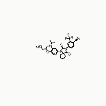 CC(C)N1C[C@H](CO)Oc2ccc(N3C(=S)N(c4ccc(C#N)c(C(F)(F)F)c4)C(=O)C34CCCC4)cc21